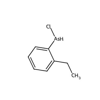 CCc1ccccc1[AsH]Cl